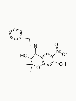 CC1(C)Oc2cc(O)c([N+](=O)[O-])cc2C(NCCc2ccccc2)C1O